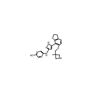 CC1(COc2cnc3c(c2-c2cc(Nc4cnc(C#N)cn4)n[nH]2)OCC3)CNC1